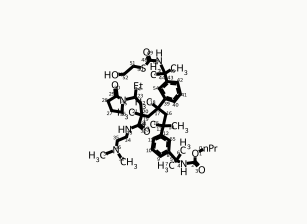 CCCOC(=O)NC(C)(C)c1cccc(C(C)(C)CC(C)(CC(C)(CC(CC)N2CCCC2=O)C(=O)NCCN(C)C)c2cccc(C(C)(C)NC(=O)SCCO)c2)c1